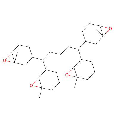 CC12CC(C(CCCC(C3CCC4OC4(C)C3)C3CCCC4(C)OC34)C3CCCC4(C)OC34)CCC1O2